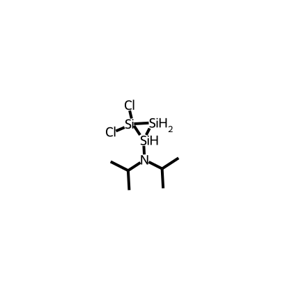 CC(C)N(C(C)C)[SiH]1[SiH2][Si]1(Cl)Cl